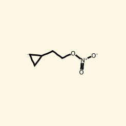 O=[N+]([O-])OCCC1[CH]C1